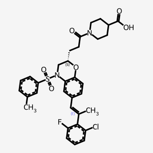 C/C(=C\c1ccc2c(c1)N(S(=O)(=O)c1cccc(C)c1)C[C@H](CCC(=O)N1CCC(C(=O)O)CC1)O2)c1c(F)cccc1Cl